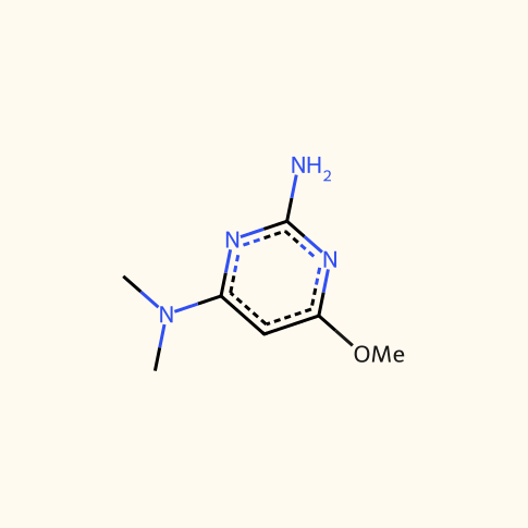 COc1cc(N(C)C)nc(N)n1